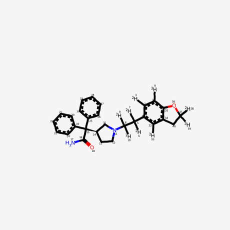 [2H]c1c([2H])c(C([2H])([2H])C([2H])([2H])N2CC[C@@H](C(C(N)=O)(c3ccccc3)c3ccccc3)C2)c([2H])c2c1OC([2H])([2H])C2